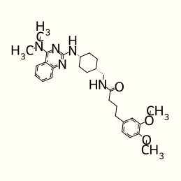 COc1ccc(CCCC(=O)NC[C@H]2CC[C@@H](Nc3nc(N(C)C)c4ccccc4n3)CC2)cc1OC